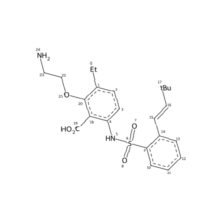 CCc1ccc(NS(=O)(=O)c2ccccc2/C=C/C(C)(C)C)c(C(=O)O)c1OCCN